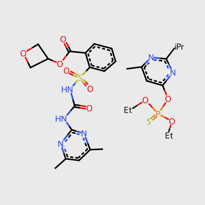 CCOP(=S)(OCC)Oc1cc(C)nc(C(C)C)n1.Cc1cc(C)nc(NC(=O)NS(=O)(=O)c2ccccc2C(=O)OC2COC2)n1